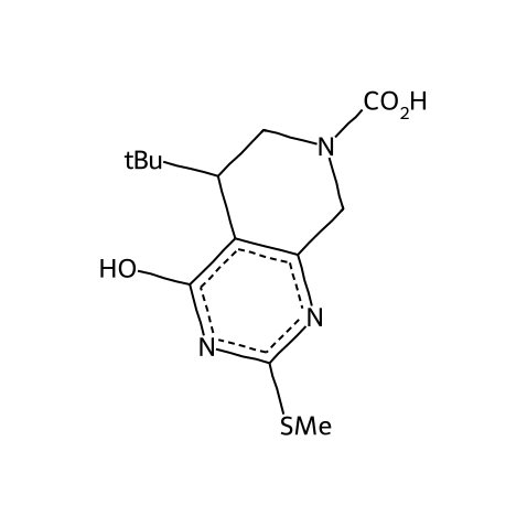 CSc1nc(O)c2c(n1)CN(C(=O)O)CC2C(C)(C)C